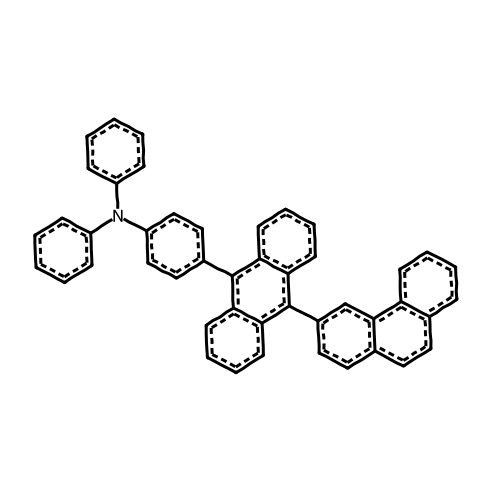 c1ccc(N(c2ccccc2)c2ccc(-c3c4ccccc4c(-c4ccc5ccc6ccccc6c5c4)c4ccccc34)cc2)cc1